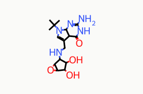 CC(C)(C)N1C=C(CNC2C(O)C(O)C3OC23)C2C(=O)NC(N)=NC21